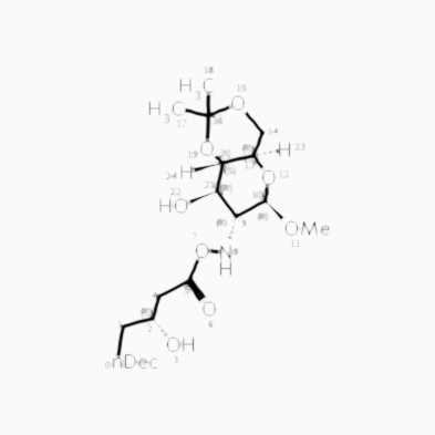 CCCCCCCCCCC[C@@H](O)CC(=O)ON[C@H]1[C@H](OC)O[C@@H]2COC(C)(C)O[C@H]2[C@@H]1O